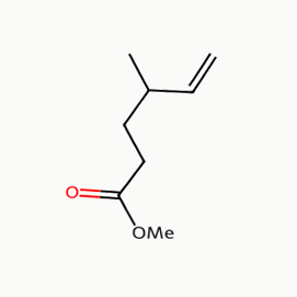 C=CC(C)CCC(=O)OC